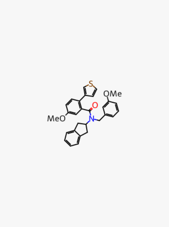 COc1cccc(CN(C(=O)c2cc(OC)ccc2-c2ccsc2)C2Cc3ccccc3C2)c1